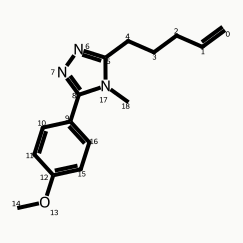 C=CCCCc1nnc(-c2ccc(OC)cc2)n1C